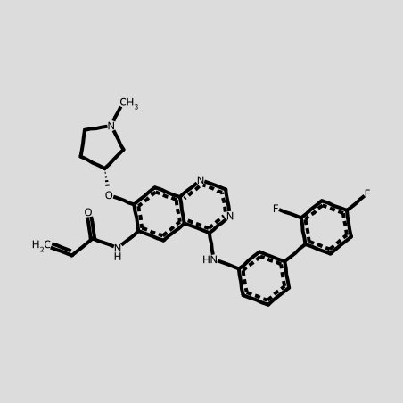 C=CC(=O)Nc1cc2c(Nc3cccc(-c4ccc(F)cc4F)c3)ncnc2cc1O[C@@H]1CCN(C)C1